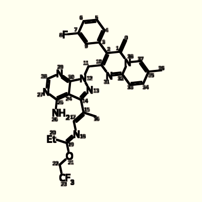 C=C1C(c2cccc(F)c2)=C(Cn2nc(/C(C)=C/N=C(\CC)OCC(F)(F)F)c3c(N)ncnc32)N=C2C=CC(C)=CN12